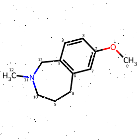 COc1ccc2c(c1)CCCN(C)C2